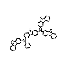 c1ccc(N(c2ccc3oc4ccccc4c3c2)c2ccc3sc4cc(N(c5ccc6c(c5)sc5ccccc56)c5ccc6sc7ccccc7c6c5)ccc4c3c2)cc1